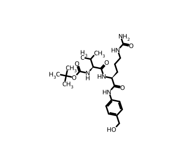 CC(C)[C@H](NC(=O)OC(C)(C)C)C(=O)N[C@@H](CCCNC(N)=O)C(=O)Nc1ccc(CO)cc1